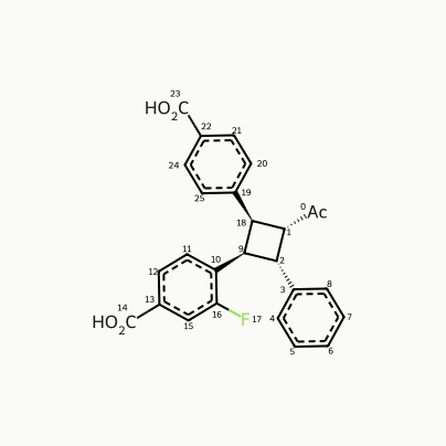 CC(=O)[C@@H]1[C@H](c2ccccc2)[C@@H](c2ccc(C(=O)O)cc2F)[C@H]1c1ccc(C(=O)O)cc1